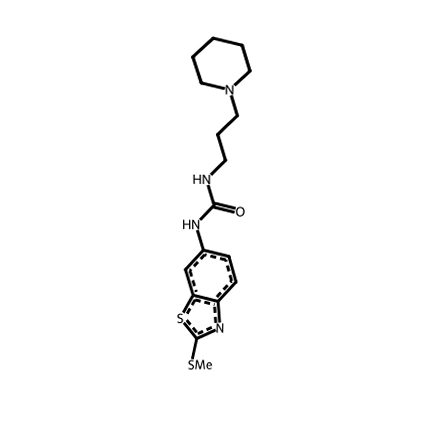 CSc1nc2ccc(NC(=O)NCCCN3CCCCC3)cc2s1